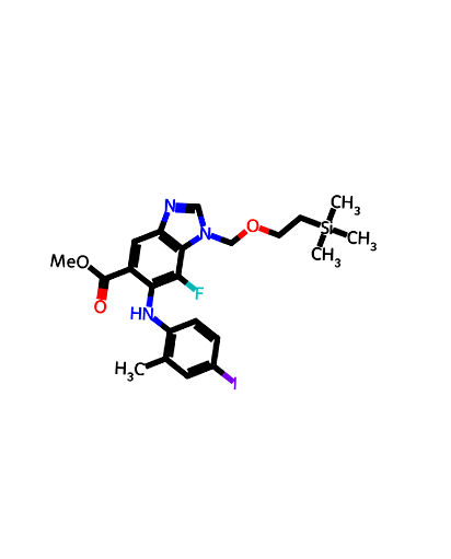 COC(=O)c1cc2ncn(COCC[Si](C)(C)C)c2c(F)c1Nc1ccc(I)cc1C